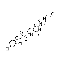 Cc1nc(N2CCN(CCO)CC2)nc2ccc(NC(=O)COc3ccc(Cl)cc3Cl)nc12